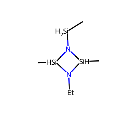 CCN1[SiH](C)N([SiH2]C)[SiH]1C